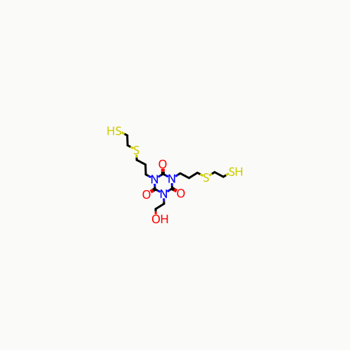 O=c1n(CCO)c(=O)n(CCCSCCS)c(=O)n1CCCSCCS